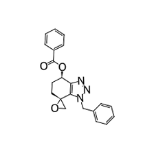 O=C(O[C@@H]1CC[C@]2(CO2)c2c1nnn2Cc1ccccc1)c1ccccc1